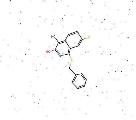 N#Cc1c(O)nc(SCc2ccccc2)c2cc(F)ccc12